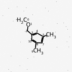 [CH2]OCc1cc(C)cc(C)c1